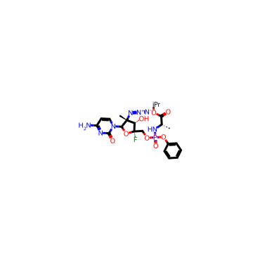 CC(C)OC(=O)[C@H](C)NP(=O)(OC[C@@]1(F)OC(n2ccc(N)nc2=O)[C@](C)(N=[N+]=[N-])[C@@H]1O)Oc1ccccc1